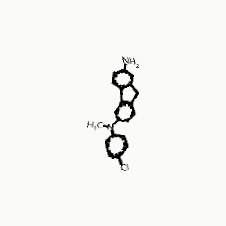 CN(c1ccc(Cl)cc1)c1ccc2c(c1)-c1ccc(N)cc1C2